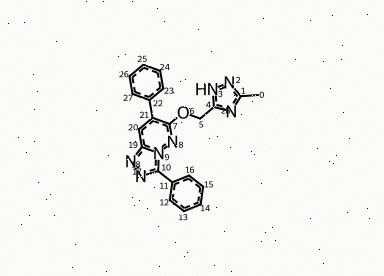 Cc1n[nH]c(COc2nn3c(-c4ccccc4)nnc3cc2-c2ccccc2)n1